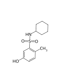 Cc1ccc(O)cc1S(=O)(=O)NC1CCCCC1